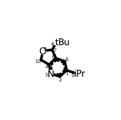 CC(C)c1cnc2c(c1)C(C(C)(C)C)OC2